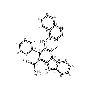 Cc1c(Nc2ncnc3ccccc23)c(-c2ccccc2)c(C(N)=O)c2[nH]c3ccccc3c12